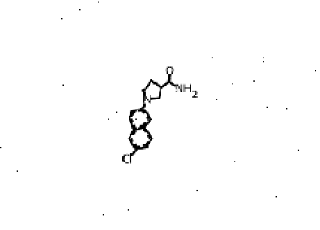 NC(=O)C1CCN(c2ccc3cc(Cl)ccc3c2)C1